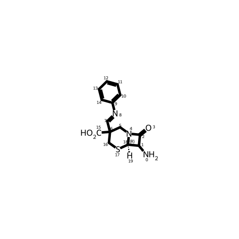 NC1C(=O)N2CC(C=Nc3ccccc3)(C(=O)O)CS[C@H]12